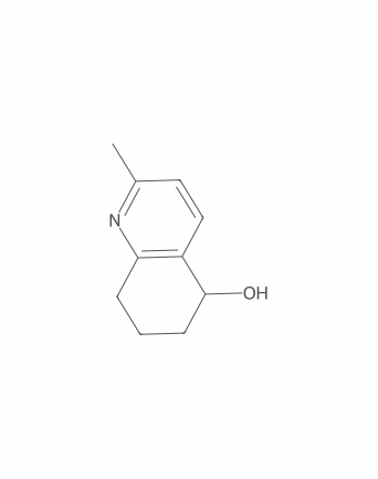 Cc1ccc2c(n1)CCCC2O